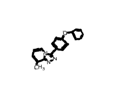 Cc1cccn2c(-c3ccc(Oc4ccccc4)cc3)nnc12